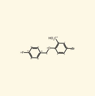 O=C(O)c1cc(Br)ccc1OCc1ccc(F)cc1